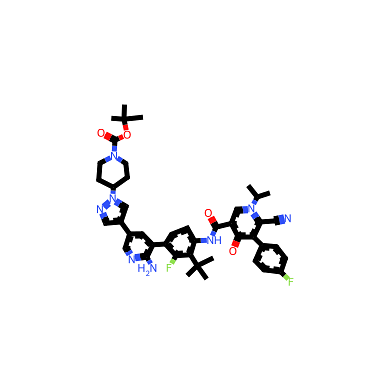 CC(C)n1cc(C(=O)Nc2ccc(-c3cc(-c4cnn(C5CCN(C(=O)OC(C)(C)C)CC5)c4)cnc3N)c(F)c2C(C)(C)C)c(=O)c(-c2ccc(F)cc2)c1C#N